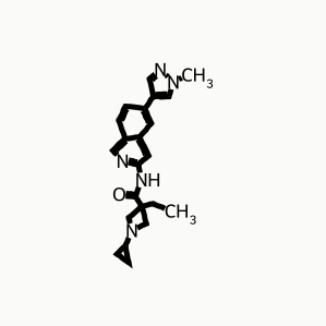 CCC1(C(=O)Nc2cc3cc(-c4cnn(C)c4)ccc3cn2)CN(C2CC2)C1